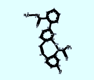 CNC(=O)c1ccccc1-c1ccc2c(n1)CN(C(C)=O)c1cc(Cl)ccc1C=C2